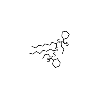 CCCCCCCC(SC(CCCCCCC)SP(=S)(CCC)C1CCCCC1)SP(=S)(CCC)C1CCCCC1